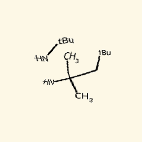 CC(C)(C)CC(C)(C)[NH].CC(C)(C)[NH]